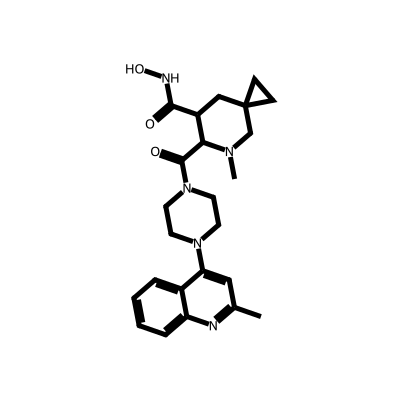 Cc1cc(N2CCN(C(=O)C3C(C(=O)NO)CC4(CC4)CN3C)CC2)c2ccccc2n1